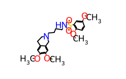 COc1ccc(OC)c(S(=O)(=O)NCCCCN2CCc3cc(OC)c(OC)cc3C2)c1